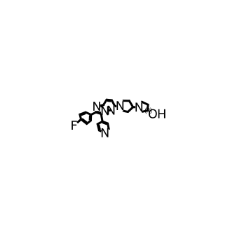 O[C@@H]1CCN(C2CCN(c3ccc4nc(-c5ccc(F)cc5)c(-c5ccncc5)n4n3)CC2)C1